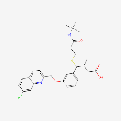 CC(CC(=O)O)C(SCCC(=O)NC(C)(C)C)c1cccc(OCc2ccc3ccc(Cl)cc3n2)c1